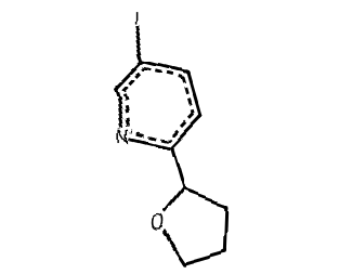 Ic1ccc(C2CCCO2)nc1